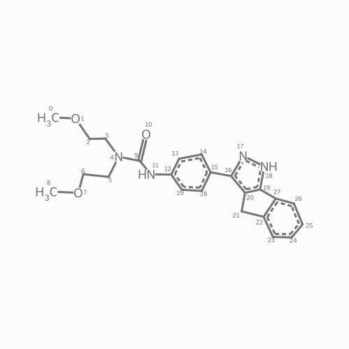 COCCN(CCOC)C(=O)Nc1ccc(-c2n[nH]c3c2Cc2ccccc2-3)cc1